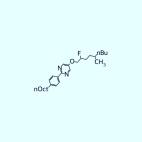 CCCCCCCCc1ccc(-c2ncc(OCC(F)CCC(C)CCCC)cn2)cc1